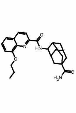 CCCOc1cccc2ccc(C(=O)NC3C4CC5CC3CC(C(N)=O)(C5)C4)nc12